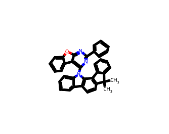 CC1(C)c2ccccc2-c2c1ccc1c3ccccc3n(-c3nc(-c4ccccc4)nc4oc5ccccc5c34)c21